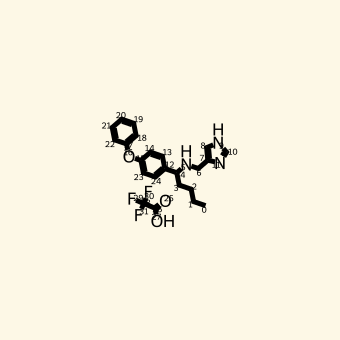 CCCCC(NCc1c[nH]cn1)c1ccc(Oc2ccccc2)cc1.O=C(O)C(F)(F)F